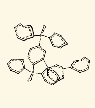 O=P(c1ccccc1)(c1ccccc1)c1ccc(P(=O)(c2ccccc2)c2ccccc2)c(-c2cncc(-c3ccccc3)c2)c1